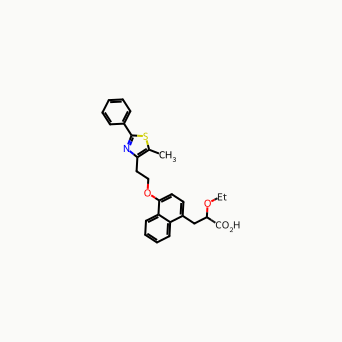 CCOC(Cc1ccc(OCCc2nc(-c3ccccc3)sc2C)c2ccccc12)C(=O)O